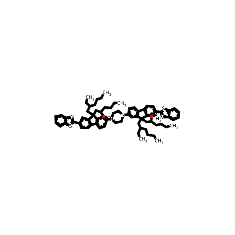 CCCCC(CC)CC1(CC(CC)CCCC)c2cc(-c3nc4ccccc4s3)ccc2-c2ccc(N3CCN(c4ccc5c(c4)C(CC(CC)CCCC)(CC(CC)CCCC)c4cc(-c6nc7ccccc7s6)ccc4-5)CC3)cc21